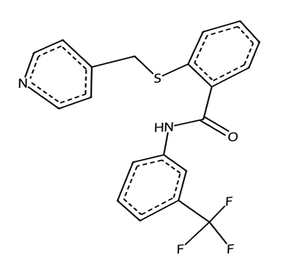 O=C(Nc1cccc(C(F)(F)F)c1)c1ccccc1SCc1ccncc1